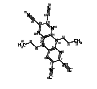 [C-]#[N+]c1nc2c(nc1[N+]#[C-])N(CCC)c1nc(C#N)c(C#N)nc1N2CCC